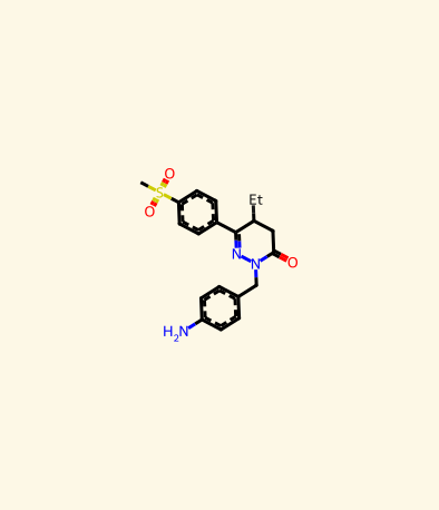 CCC1CC(=O)N(Cc2ccc(N)cc2)N=C1c1ccc(S(C)(=O)=O)cc1